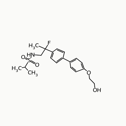 CC(C)S(=O)(=O)NCC(C)(F)c1ccc(-c2ccc(OCCO)cc2)cc1